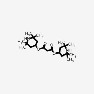 CC1(C)CC(OC(=O)CC(=O)OC2CC(C)(C)NC(C)(C)C2)CC(C)(C)N1